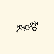 O=C(c1ccccc1-n1nccn1)N1CCON(c2ccnc(C3CC3)n2)CC1